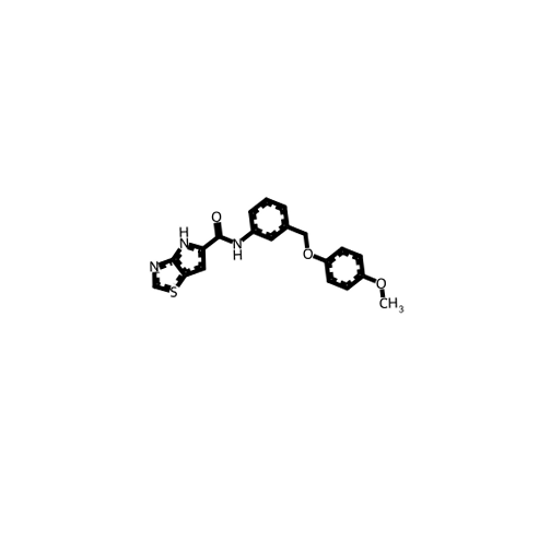 COc1ccc(OCc2cccc(NC(=O)c3cc4scnc4[nH]3)c2)cc1